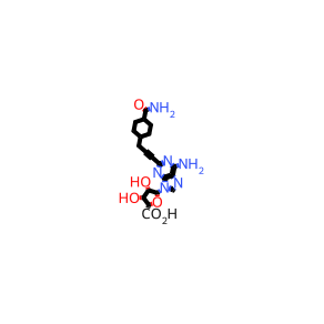 NC(=O)C1CCC(CC#Cc2nc(N)c3ncn(C4OC(C(=O)O)C(O)C4O)c3n2)CC1